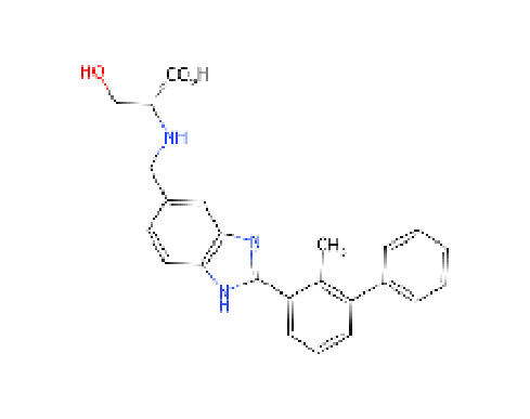 Cc1c(-c2ccccc2)cccc1-c1nc2cc(CN[C@H](CO)C(=O)O)ccc2[nH]1